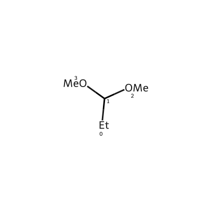 [CH2]CC(OC)OC